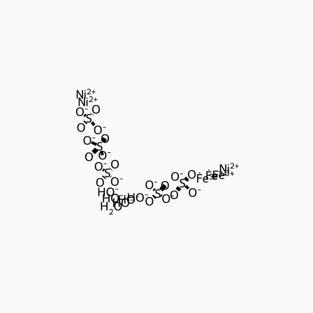 O.O=S(=O)([O-])[O-].O=S(=O)([O-])[O-].O=S(=O)([O-])[O-].O=S(=O)([O-])[O-].O=S(=O)([O-])[O-].[Fe+3].[Fe+3].[Fe+3].[Ni+2].[Ni+2].[Ni+2].[OH-].[OH-].[OH-].[OH-].[OH-]